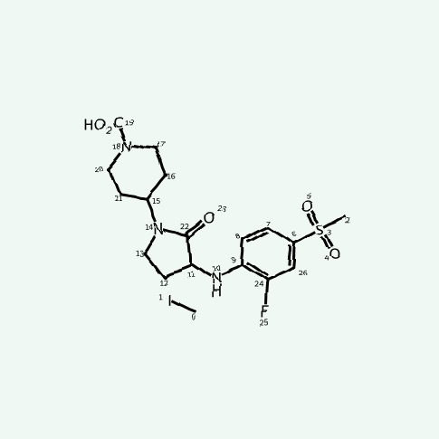 CI.CS(=O)(=O)c1ccc(NC2CCN(C3CCN(C(=O)O)CC3)C2=O)c(F)c1